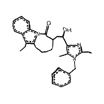 Cc1c2n(c3ccccc13)C(=O)C(C(O)c1nc(C)n(Cc3ccccc3)c1C)CC2